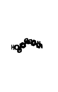 O=C(O)c1ccc(C(=O)COc2ccc(-c3ccncn3)cc2)cc1